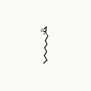 CCCCCCCC[C@@H]1CO1